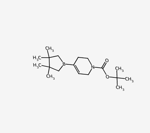 CC(C)(C)OC(=O)N1CC=C(B2CC(C)(C)C(C)(C)C2)CC1